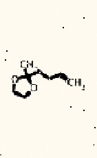 C=CCCC1(C)OCCO1